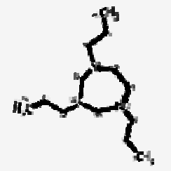 CCCN1CCN(CCC)CN(CCC)C1